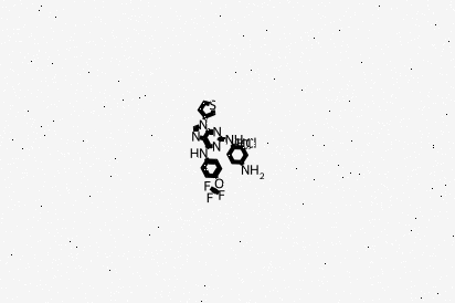 Cl.Cl.NC1CCC(Nc2nc(Nc3ccc(OC(F)(F)F)cc3)c3ncn(C4CCSC4)c3n2)CC1